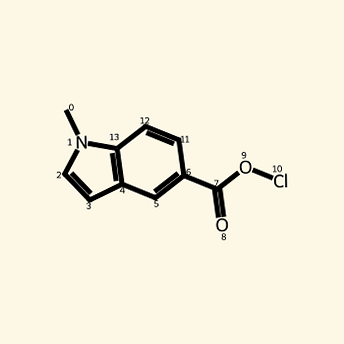 Cn1ccc2cc(C(=O)OCl)ccc21